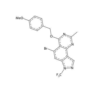 COc1ccc(COc2nc(C)nc3c2c(Br)cc2c3cnn2C(F)(F)F)cc1